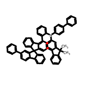 CC1(C)c2ccccc2-c2ccc(N(c3ccc(-c4ccccc4)cc3)c3ccccc3-c3cccc4c3-c3ccccc3C43c4ccccc4-c4ccc(-c5ccccc5)cc43)cc21